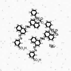 O=S(=O)([O-])c1cccc2c(N=Nc3ccc(N=Nc4cccc(S(=O)(=O)O)c4)c4ccccc34)ccc(Nc3ccccc3)c12.O=S(=O)([O-])c1cccc2c(N=Nc3ccc(N=Nc4cccc(S(=O)(=O)O)c4)c4ccccc34)ccc(Nc3ccccc3)c12.[Na+].[Na+]